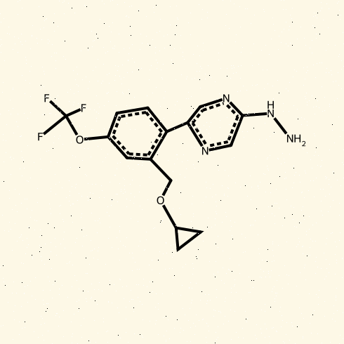 NNc1cnc(-c2ccc(OC(F)(F)F)cc2COC2CC2)cn1